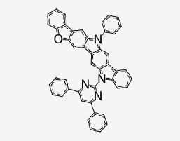 c1ccc(-c2cc(-c3ccccc3)nc(-n3c4ccccc4c4cc5c(cc43)c3cc4oc6ccccc6c4cc3n5-c3ccccc3)n2)cc1